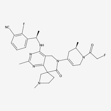 Cc1nc(N[C@H](C)c2cccc(C#N)c2F)c2c(n1)C1(CCN(C)C1)C(=O)N(C1=CCN(C(=O)CF)[C@H](C)C1)C2